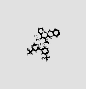 CC12CCCN1N(Cc1ccccc1)C(=O)C(C(=O)Nc1ccc(C(F)(F)F)cc1-c1cc(C(F)(F)F)ncn1)=C2O